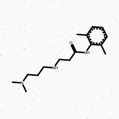 Cc1cccc(C)c1NC(=O)CCNCCCN(C)C